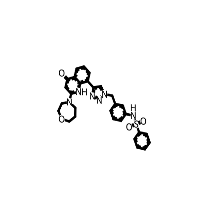 O=c1cc(N2CCCOCC2)[nH]c2c(-c3cn(Cc4cccc(NS(=O)(=O)c5ccccc5)c4)nn3)cccc12